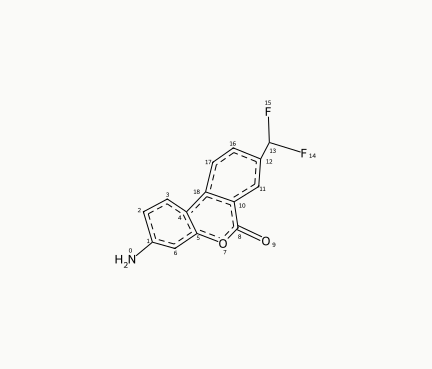 Nc1ccc2c(c1)oc(=O)c1cc(C(F)F)ccc12